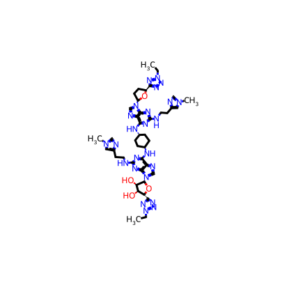 CCn1nnc([C@@H]2CC[C@H](n3cnc4c(N[C@H]5CC[C@H](Nc6nc(NCCc7cn(C)cn7)nc7c6ncn7[C@@H]6O[C@H](c7nnn(CC)n7)[C@@H](O)[C@H]6O)CC5)nc(NCCc5cn(C)cn5)nc43)O2)n1